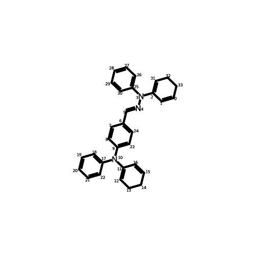 C1=CC(N(/N=C/c2ccc(N(C3=CCCC=C3)c3ccccc3)cc2)c2ccccc2)=CCC1